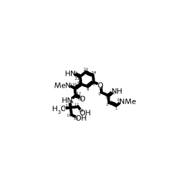 CN/C=C\C(=N)COC1=C/C(=C(/NC)C(=O)NC(C)(CO)CO)C(=N)C=C1